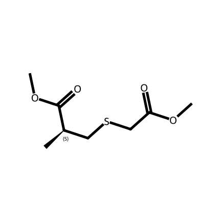 COC(=O)CSC[C@@H](C)C(=O)OC